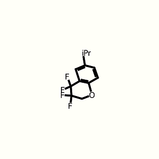 CC(C)c1ccc2c(c1)C(F)(F)C(F)(F)CO2